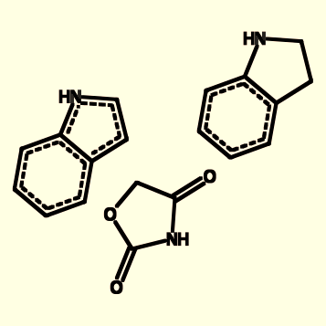 O=C1COC(=O)N1.c1ccc2[nH]ccc2c1.c1ccc2c(c1)CCN2